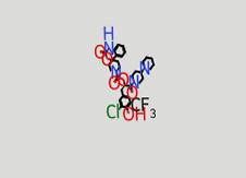 O=C1Nc2ccccc2C2(CCN(C(=O)O[C@H](Cc3cc(Cl)c(O)c(C(F)(F)F)c3)C(=O)N3CCC(N4CCCCC4)CC3)CC2)O1